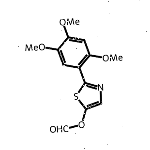 COc1cc(OC)c(-c2ncc(OC=O)s2)cc1OC